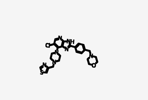 Clc1cnc2[nH]c(-c3ccc(CN4CCOCC4)cc3)nc2c1N1CCN(Cc2cscn2)CC1